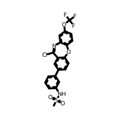 CS(=O)(=O)Nc1cccc(-c2ccc3c(c2)C(Cl)=Nc2cc(OC(F)(F)F)ccc2O3)c1